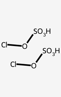 O=S(=O)(O)OCl.O=S(=O)(O)OCl